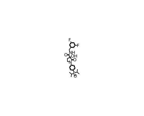 CC(C)P(=O)(c1ccc(N2CC[C@](O)(C(=O)NCc3cc(F)cc(F)c3)C2=O)cc1)C(C)C